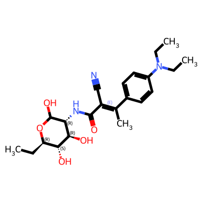 CC[C@H]1OC(O)[C@H](NC(=O)/C(C#N)=C(\C)c2ccc(N(CC)CC)cc2)[C@@H](O)[C@@H]1O